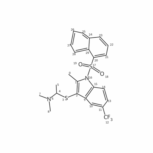 Cc1c(SC(C)N(C)C)c2cc(C(F)(F)F)ccc2n1S(=O)(=O)c1cccc2ccccc12